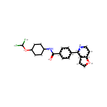 O=C(NC1CCC(OC(F)F)CC1)c1ccc(-c2nccc3occc23)cc1